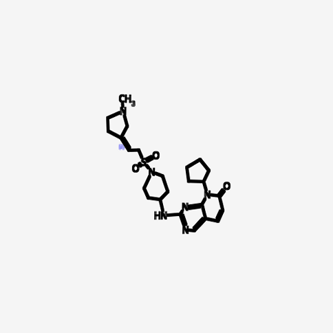 CN1CC/C(=C/CS(=O)(=O)N2CCC(Nc3ncc4ccc(=O)n(C5CCCC5)c4n3)CC2)C1